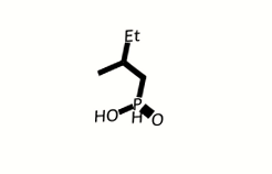 CCC(C)C[PH](=O)O